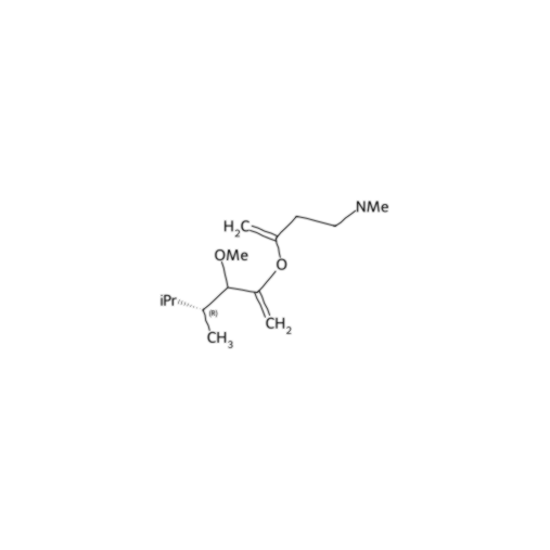 C=C(CCNC)OC(=C)C(OC)[C@H](C)C(C)C